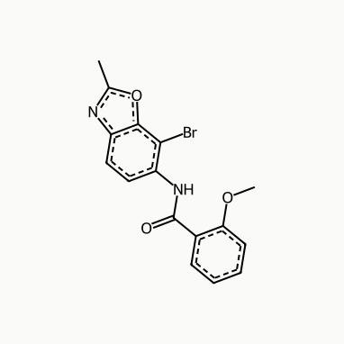 COc1ccccc1C(=O)Nc1ccc2nc(C)oc2c1Br